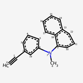 C#Cc1cccc(N(C)c2cccc3ccccc23)c1